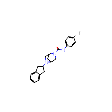 O=C(Nc1ccc(C(F)(F)F)cc1)N1CC2CC1CN2C1Cc2ccccc2C1